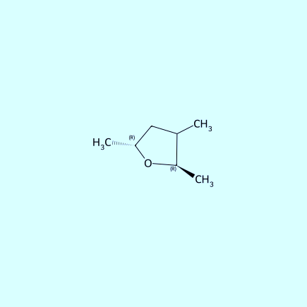 CC1C[C@@H](C)O[C@@H]1C